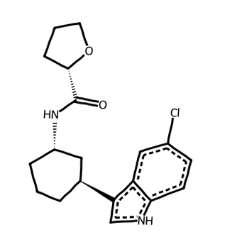 O=C(N[C@H]1CCC[C@H](c2c[nH]c3ccc(Cl)cc23)C1)[C@@H]1CCCO1